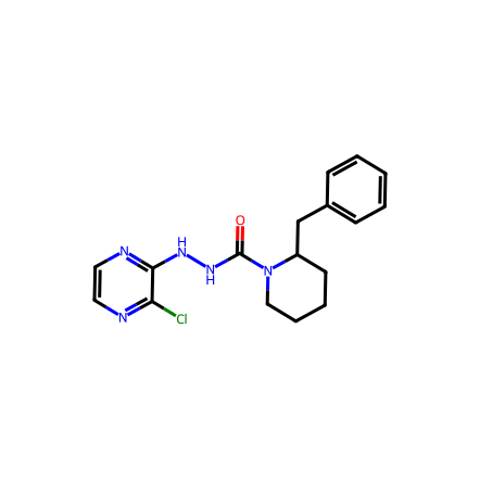 O=C(NNc1nccnc1Cl)N1CCCCC1Cc1ccccc1